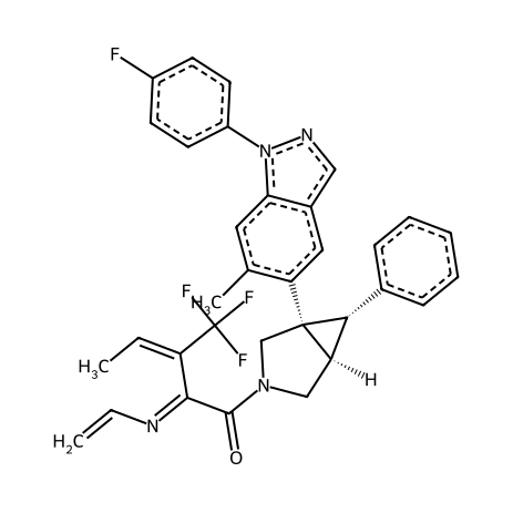 C=C/N=C(C(=O)N1C[C@@H]2[C@@H](c3ccccc3)[C@]2(c2cc3cnn(-c4ccc(F)cc4)c3cc2C)C1)\C(=C/C)C(F)(F)F